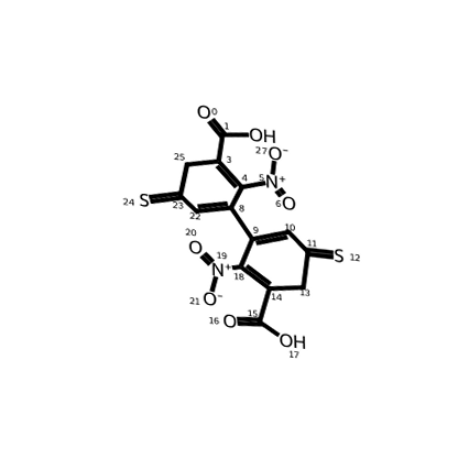 O=C(O)C1=C([N+](=O)[O-])C(C2=CC(=S)CC(C(=O)O)=C2[N+](=O)[O-])=CC(=S)C1